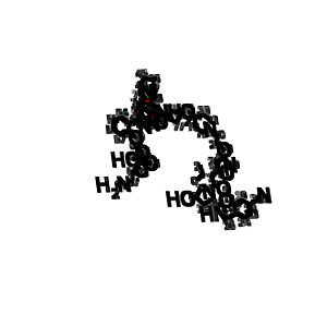 CC(C)[C@@H](C(=O)N1C[C@H](O)C[C@H]1C(=O)N[C@@H](C)c1ccc(C#N)cc1)c1cc(OCCN2CCC(O[C@H]3C[C@H](Oc4cc(N5C6CCC5CN(c5cc(-c7ccccc7OCOP(=O)(O)OCCN)nnc5N)C6)ccn4)C3)CC2)no1